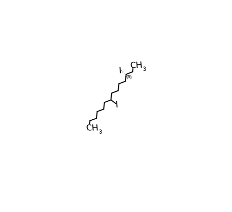 CCCCCCC(I)CCCC[C@H](I)CC